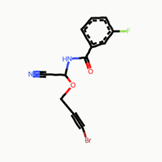 N#CC(NC(=O)c1cccc(F)c1)OCC#CBr